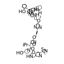 Cc1ncsc1-c1ccc([C@H](C)NC(=O)[C@@H]2C[C@@H](O)CN2C(=O)[C@H](c2cc(OCC#Cc3ncc(OC4CC(Oc5cc(N6C7CC[C@@H]6CN(c6cc(-c8ccccc8O)nnc6N)C7)ccn5)C4)cn3)no2)C(C)C)cn1